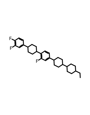 CCC1CCC(C2CCC(c3ccc(C4CCC(c5ccc(F)c(F)c5)CC4)c(F)c3)CC2)CC1